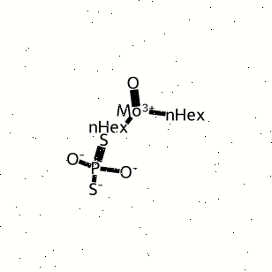 CCCCC[CH2][Mo+3](=[O])[CH2]CCCCC.[O-]P([O-])(=S)[S-]